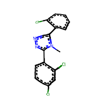 Cn1c(-c2ccccc2Cl)nnc1-c1ccc(Cl)cc1Cl